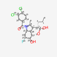 CCC[C@H](C(=O)O)c1c(C)n(C(=O)c2ccc(Cl)c(Cl)c2)c2cc(F)c(O)cc12